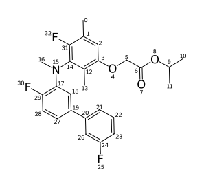 Cc1cc(OCC(=O)OC(C)C)c(C)c(N(C)c2cc(-c3cccc(F)c3)ccc2F)c1F